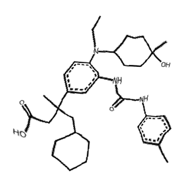 CCN(c1ccc(C(C)(CC(=O)O)CC2CCCCC2)cc1NC(=O)Nc1ccc(C)cc1)C1CCC(C)(O)CC1